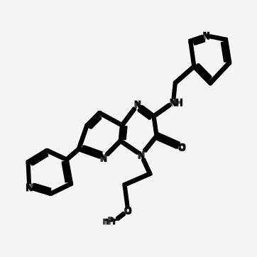 CCCOCCn1c(=O)c(NCc2cccnc2)nc2ccc(-c3ccncc3)nc21